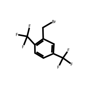 FC(F)(F)c1ccc(C(F)(F)F)c(CBr)c1